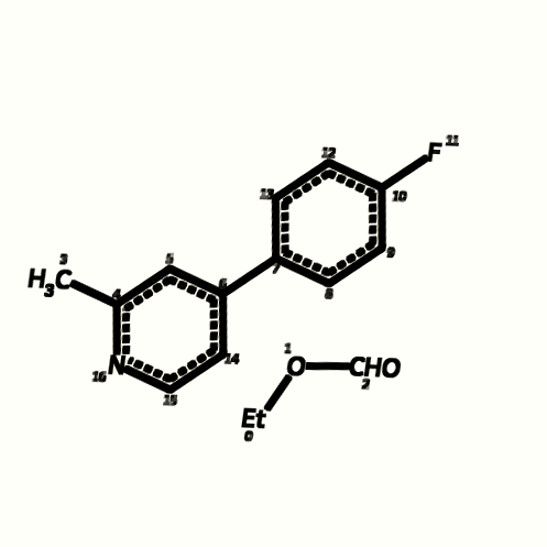 CCOC=O.Cc1cc(-c2ccc(F)cc2)ccn1